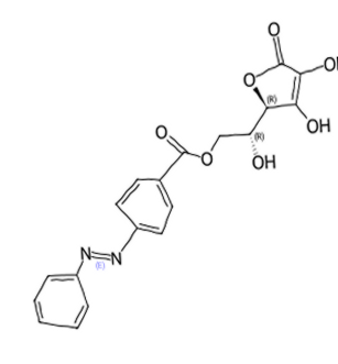 O=C1O[C@H]([C@H](O)COC(=O)c2ccc(/N=N/c3ccccc3)cc2)C(O)=C1O